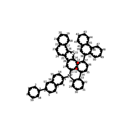 c1ccc(-c2ccc3cc(N(c4ccc5sc6c7ccccc7ccc6c5c4)c4ccccc4-c4ccc(-c5cc6ccccc6c6ccccc56)cc4)ccc3c2)cc1